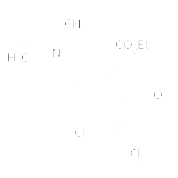 CCOC(=O)/C(=C\N(C)C)C(=O)C(Cl)Cl